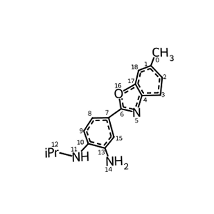 Cc1ccc2nc(-c3ccc(NC(C)C)c(N)c3)oc2c1